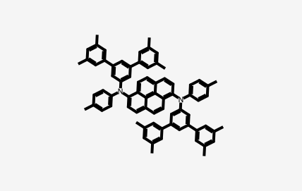 Cc1ccc(N(c2cc(-c3cc(C)cc(C)c3)cc(-c3cc(C)cc(C)c3)c2)c2ccc3ccc4c(N(c5ccc(C)cc5)c5cc(-c6cc(C)cc(C)c6)cc(-c6cc(C)cc(C)c6)c5)ccc5ccc2c3c54)cc1